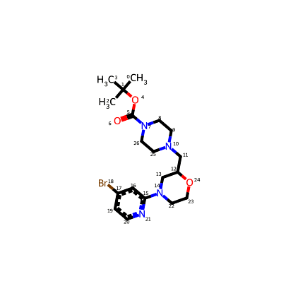 CC(C)(C)OC(=O)N1CCN(CC2CN(c3cc(Br)ccn3)CCO2)CC1